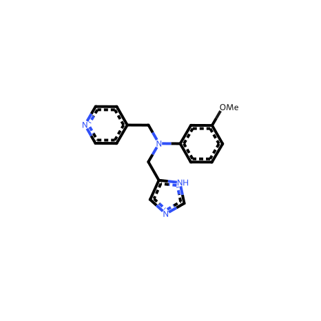 COc1cccc(N(Cc2ccncc2)Cc2cnc[nH]2)c1